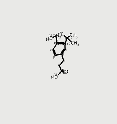 CC(C)(C)c1cc(CCC(=O)O)ccc1CO